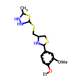 CCOc1ccc(C2NC(CSC3NNC(C)S3)CS2)cc1OC